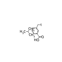 CC(C)C.O=C(O)c1cccc(CI)c1